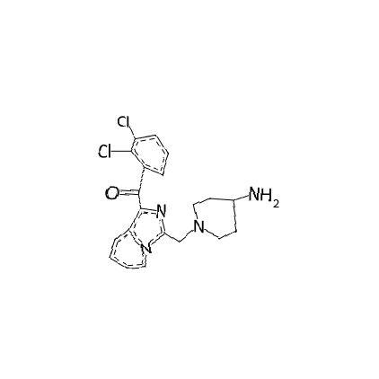 NC1CCN(Cc2nc(C(=O)c3cccc(Cl)c3Cl)c3ccccn23)CC1